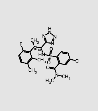 Cc1ccc(F)c([C@@H](C)[C@H](NS(=O)(=O)c2ccc(Cl)cc2C(=O)N(C)C)c2nn[nH]n2)c1C